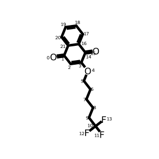 O=C1C=C(OCCCCCC(F)(F)F)C(=O)c2ccccc21